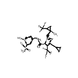 CC1(Cn2nc(C3CC3)c(C(F)(F)F)c2C(=O)Nc2cc[n+](O)c(S(N)(=O)=O)c2)CC1C(F)(F)F